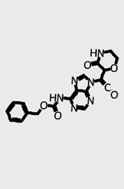 O=C=C(C1OCCNC1=O)n1cnc2c(NC(=O)OCc3ccccc3)ncnc21